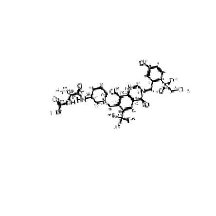 CCS(=O)(=O)c1ccc(Cl)cc1Cn1cnc2c(Cl)c(CN3CCC[C@H](NC(=O)[C@H](C)NC(=O)O)C3)c(C(F)(F)F)cc2c1=O